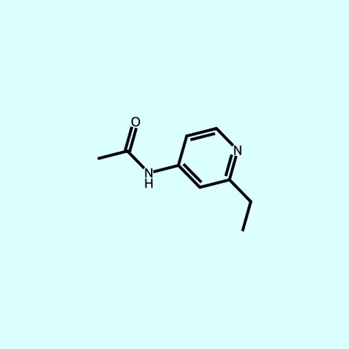 CCc1cc(NC(C)=O)ccn1